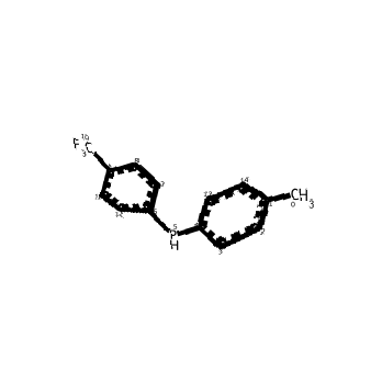 Cc1ccc(Pc2ccc(C(F)(F)F)cc2)cc1